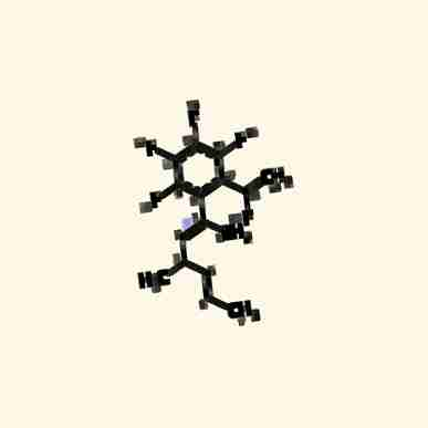 B/C(=C\C(C)C=CC)c1c(F)c(F)c(F)c(F)c1C(=C)F